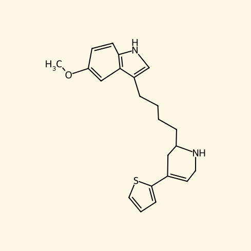 COc1ccc2[nH]cc(CCCCC3CC(c4cccs4)=CCN3)c2c1